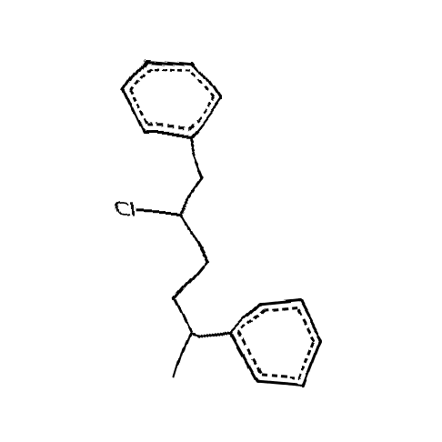 CC(CCC(Cl)Cc1ccccc1)c1ccccc1